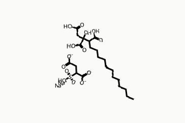 CCCCCCCCCCCCC(C(=O)O)C(O)(CC(=O)O)C(=O)O.O=C([O-])CC(C(=O)[O-])S(=O)(=O)O.[Na+].[Na+]